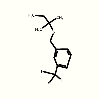 CCC(C)(C)SCc1cccc(C(F)(F)F)c1